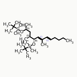 CCCC/C=C/C(C)=C/[C@H](O[Si](C)(C)C(C)(C)C)[C@@H](C)C[C@H](C)O[Si](C)(C)C(C)(C)C